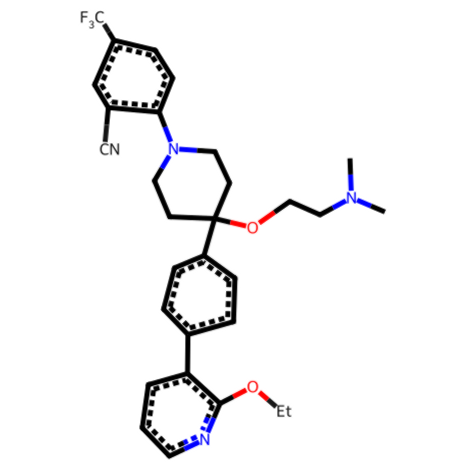 CCOc1ncccc1-c1ccc(C2(OCCN(C)C)CCN(c3ccc(C(F)(F)F)cc3C#N)CC2)cc1